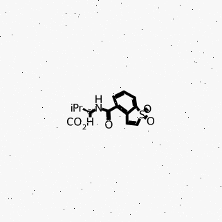 CC(C)[C@@H](NC(=O)c1cccc2c1C=CS2(=O)=O)C(=O)O